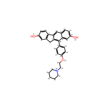 Oc1ccc2c(c1)Cc1c-2cc2ccc(O)cc2c1-c1ccc(OCCN2CCCCC2)cc1